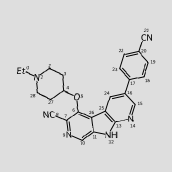 CCN1CCC(Oc2c(C#N)ncc3[nH]c4ncc(-c5ccc(C#N)cc5)cc4c23)CC1